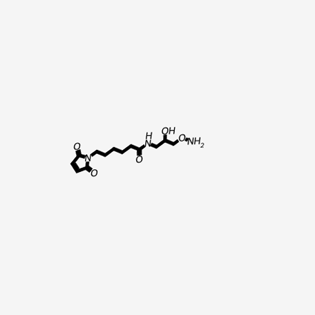 NOCC(O)CNC(=O)CCCCCN1C(=O)C=CC1=O